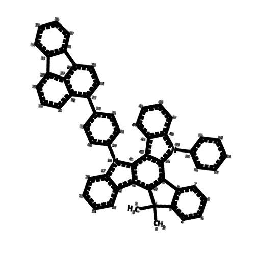 CC1(C)c2ccccc2-c2c1c1c3ccccc3n(-c3ccc(-c4ccc5c6c(cccc46)-c4ccccc4-5)cc3)c1c1c3ccccc3n(-c3ccccc3)c21